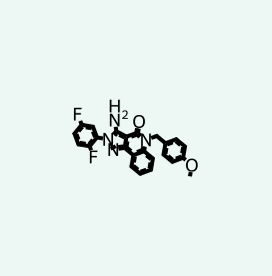 COc1ccc(Cn2c(=O)c3c(N)n(-c4cc(F)ccc4F)nc3c3ccccc32)cc1